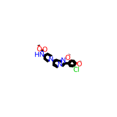 COC(=O)NC1CCN(c2ccn3cc(-c4cc(Cl)c(OC)cc4OC)nc3c2)CC1